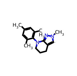 Cc1cc(C)c(N2CCCc3[c]n(C)nc32)c(C)c1